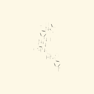 C=C(C)C(=O)Nc1cc(Nc2ncc(Cl)c(NCCCNC(=O)c3ccc(F)cc3)n2)ccc1F